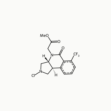 COC(=O)CN1C(=O)c2c(cccc2C(F)(F)F)[C@H]2CN(Cl)C[C@@H]21